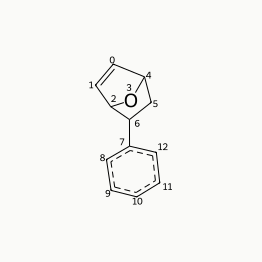 C1=CC2OC1CC2c1ccccc1